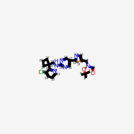 CC(C)(C)ON(C=O)Cc1cnc(-c2cnc(NCC3(c4ncccc4Cl)CCC3)nc2)s1